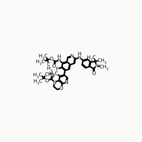 Cc1c(-c2cc3cc(Nc4ccc5c(c4)C(C)(C)N(C)C5=O)ncc3c(NC(=O)OC(C)(C)C)c2F)cnc2c1N(C(=O)OC(C)(C)C)CCO2